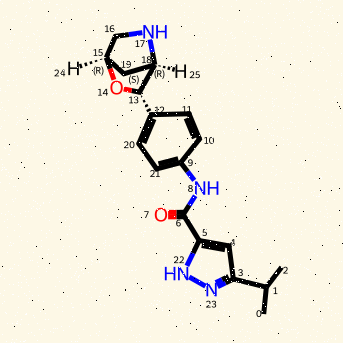 CC(C)c1cc(C(=O)Nc2ccc([C@@H]3O[C@H]4CN[C@@H]3C4)cc2)[nH]n1